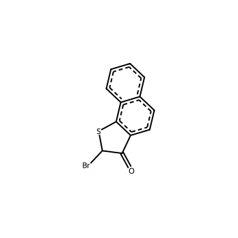 O=C1c2ccc3ccccc3c2SC1Br